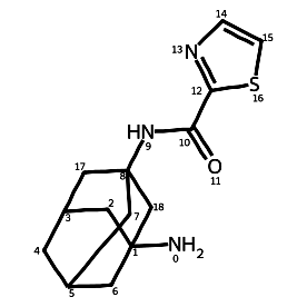 NC12CC3CC(C1)CC(NC(=O)c1nccs1)(C3)C2